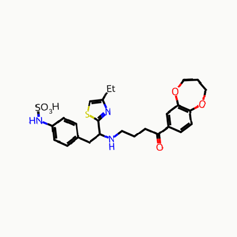 CCc1csc(C(Cc2ccc(NS(=O)(=O)O)cc2)NCCCC(=O)c2ccc3c(c2)OCCCO3)n1